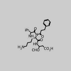 CC(C)[C@H](N)C(=O)N(C(=O)CCc1ccccc1)[C@@H](CCCCN)C(=O)NC(C=O)CC(=O)O